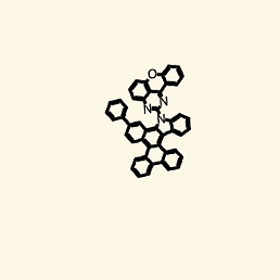 c1ccc(-c2ccc3c(c2)c2c(c4ccccc4n2-c2nc4c5c(cccc5n2)Oc2ccccc2-4)c2c4ccccc4c4ccccc4c32)cc1